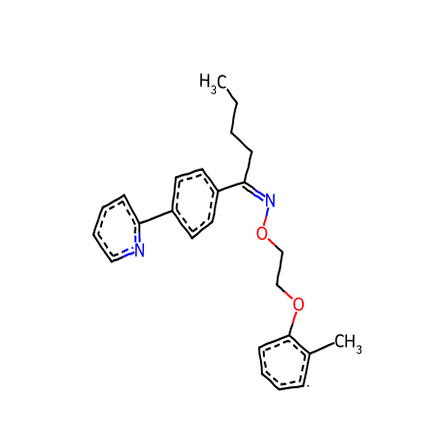 CCCCC(=NOCCOc1ccc[c]c1C)c1ccc(-c2ccccn2)cc1